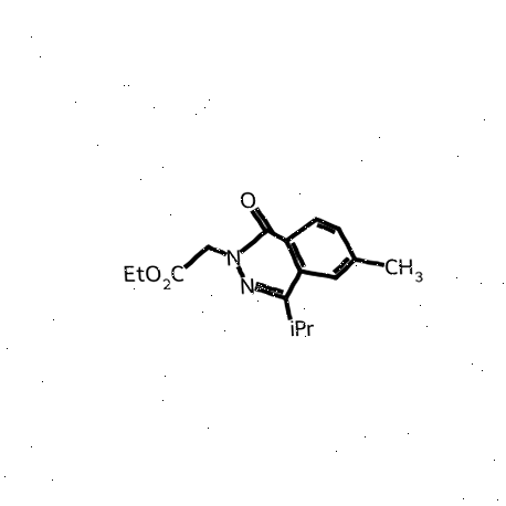 CCOC(=O)Cn1nc(C(C)C)c2cc(C)ccc2c1=O